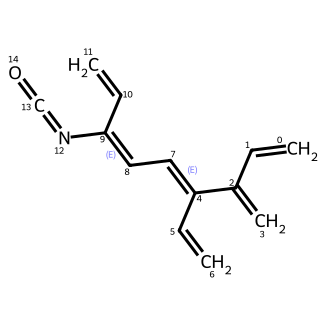 C=CC(=C)/C(C=C)=C/C=C(\C=C)N=C=O